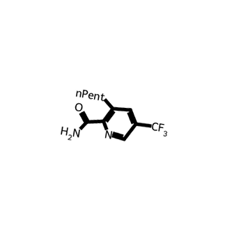 CCCCCc1cc(C(F)(F)F)cnc1C(N)=O